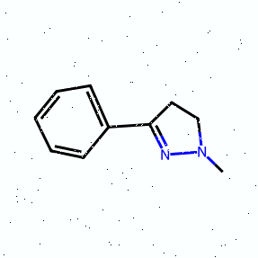 CN1CCC(c2ccccc2)=N1